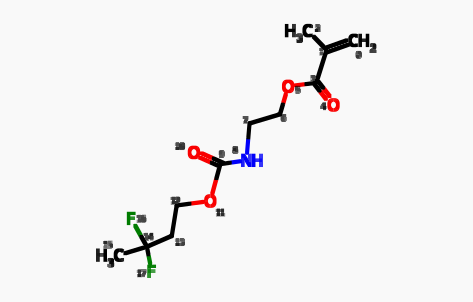 C=C(C)C(=O)OCCNC(=O)OCCC(C)(F)F